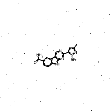 CCCn1nc(C)cc1-c1ncc2c(n1)[nH]c1ccc(C(N)=O)cc12